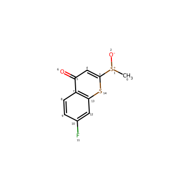 C[S+]([O-])c1cc(=O)c2ccc(F)cc2s1